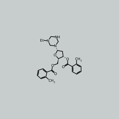 CCN1CNCN([C@@H]2C[C@H](OC(=O)c3ccccc3C)[C@@H](COC(=O)c3ccccc3C)O2)C1